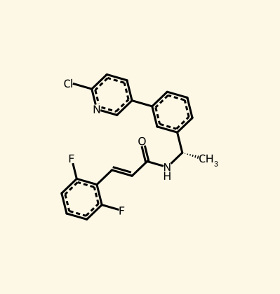 C[C@H](NC(=O)C=Cc1c(F)cccc1F)c1cccc(-c2ccc(Cl)nc2)c1